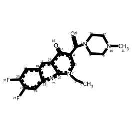 CCn1cc(C(=O)N2CCN(C)CC2)c(=O)c2cc3cc(F)c(F)cc3nc21